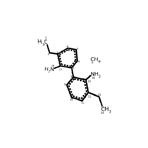 C.CCc1cccc(-c2cccc(CC)c2N)c1N